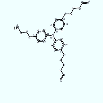 C=CCCCCc1ccc(N(c2ccc(CCCS)cc2)c2ccc(CCCCC=C)cc2)cc1